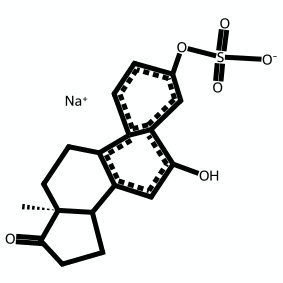 C[C@]12CCc3c(cc(O)c4cc(OS(=O)(=O)[O-])ccc34)C1CCC2=O.[Na+]